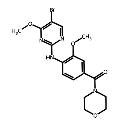 COc1cc(C(=O)N2CCOCC2)ccc1Nc1ncc(Br)c(OC)n1